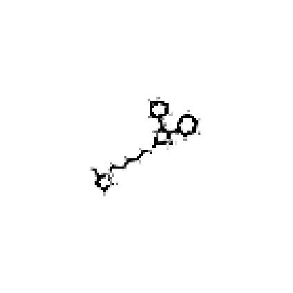 Cc1ccnn1CCCCCSc1nc(-c2ccccc2)c(-c2ccccc2)[nH]1